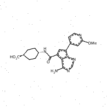 COc1cc(-c2cc(C(=O)N[C@H]3CC[C@H](C(=O)O)CC3)c3c(N)ncnn23)ccn1